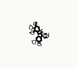 COc1ccc([N+]2(c3cc4c(OC)c(OC)c(OC)cc4s3)C=CN=C2)cc1OC